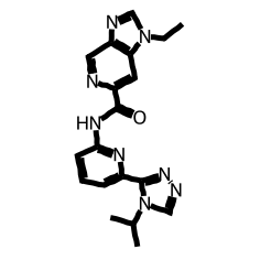 CCn1cnc2cnc(C(=O)Nc3cccc(-c4nncn4C(C)C)n3)cc21